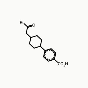 CCC(=O)CC1CCC(c2ccc(C(=O)O)cc2)CC1